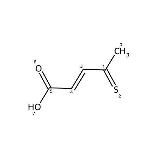 CC(=S)C=CC(=O)O